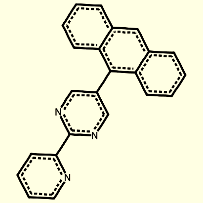 c1ccc(-c2ncc(-c3c4ccccc4cc4ccccc34)cn2)nc1